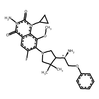 COc1c(N2CC([C@@H](N)COc3ccccc3)C(C)(C)C2)c(F)cc2c(=O)n(N)c(=O)n(C3CC3)c12